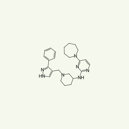 c1ccc(-c2n[nH]cc2CN2CCCC(Nc3nccc(N4CCCCCC4)n3)C2)cc1